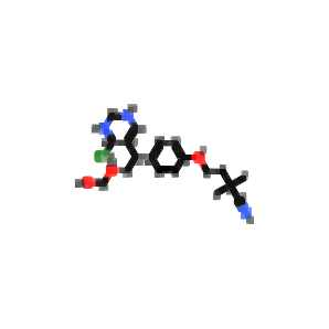 CC(C)(C#N)CCOc1ccc(C(COC=O)c2cncnc2Cl)cc1